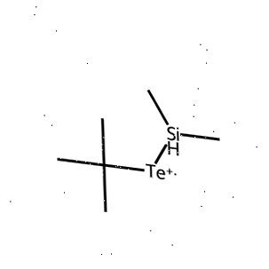 C[SiH](C)[Te+]C(C)(C)C